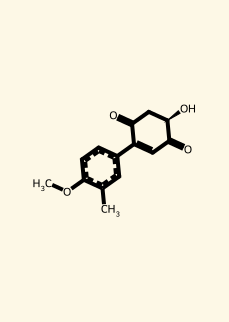 COc1ccc(C2=CC(=O)[C@H](O)CC2=O)cc1C